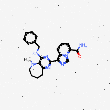 CN1CCCCc2nc(-c3ncn4c(C(N)=O)cccc34)nc(NCc3ccccc3)c21